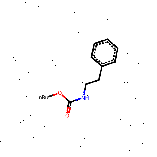 CCCCOC(=O)NCCc1ccccc1